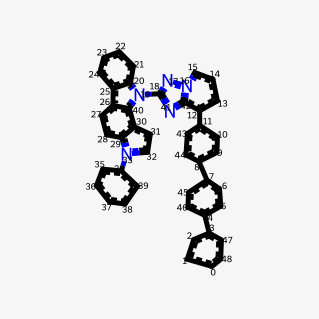 c1ccc(-c2ccc(-c3ccc(-c4cccn5nc(-n6c7ccccc7c7ccc8c(ccn8-c8ccccc8)c76)nc45)cc3)cc2)cc1